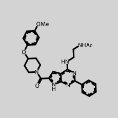 COc1ccc(OC2CCN(C(=O)c3cc4c(NCCNC(C)=O)nc(-c5ccccc5)nc4[nH]3)CC2)cc1